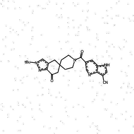 CC(C)(C)n1cc2c(n1)C(=O)CC1(CCN(C(=O)c3cnc4c(C#N)c[nH]c4c3)CC1)C2